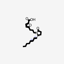 CCCC/C=C/C=C/[C@H]1CCC(=O)N1CCCc1ccc(C(=O)O)o1